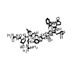 CC(C)C[C@H](NC(=O)CNC(=O)[C@H](Cc1ccc(O)cc1)NC(=O)[C@H](CO)NC(=O)[C@H](Cc1c[nH]c2ccccc12)NC(=O)[C@H](Cc1cnc[nH]1)NC(=O)[C@@H]1CCC(=O)N1)C(=O)N[C@@H](CCCN=C(N)N)C(=O)N1C[C@H](O)C[C@H]1C(=O)NCC(N)=O